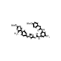 COc1ccc(CC(=O)Nc2cc(NC(=O)[N-]c3c[n+](Cc4ccc(-c5cnc(OC)nc5C)cc4)no3)cc(C(F)(F)F)c2)cc1